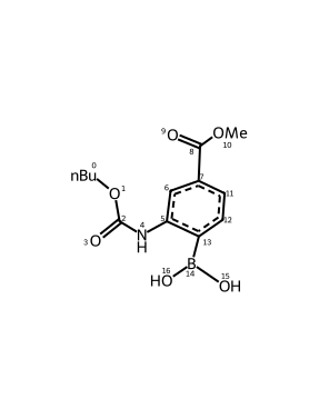 CCCCOC(=O)Nc1cc(C(=O)OC)ccc1B(O)O